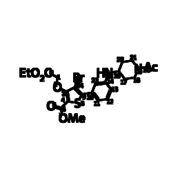 CCOC(=O)COc1c(C(=O)OC)sc(-c2cccc(NC3CCN(C(C)=O)CC3)c2)c1Br